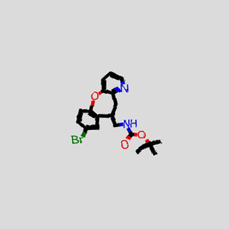 CC(C)(C)OC(=O)NCC1Cc2ncccc2Oc2ccc(Br)cc21